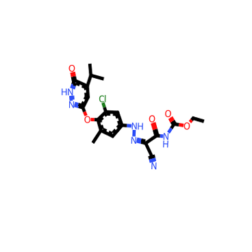 CCOC(=O)NC(=O)C(C#N)=NNc1cc(C)c(Oc2cc(C(C)C)c(=O)[nH]n2)c(Cl)c1